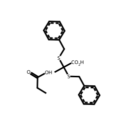 CC(SCc1ccccc1)(SCc1ccccc1)C(=O)O.CCC(=O)O